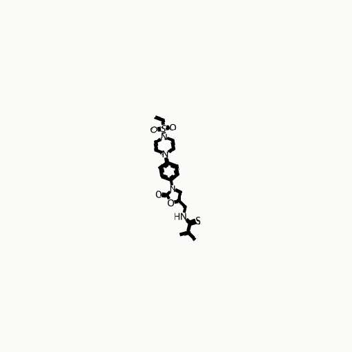 CCS(=O)(=O)N1CCN(c2ccc(N3CC(CNC(=S)C(C)C)OC3=O)cc2)CC1